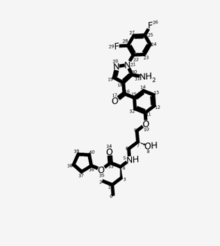 CC(C)C[C@H](NC[C@@H](O)COc1cccc(C(=O)c2cnn(-c3ccc(F)cc3F)c2N)c1)C(=O)OC1CCCC1